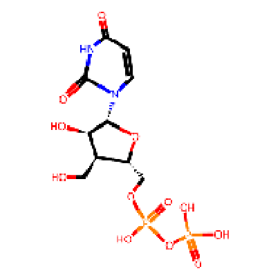 O=c1ccn([C@@H]2O[C@H](COP(=O)(O)OP(=O)(O)O)[C@@H](CO)[C@H]2O)c(=O)[nH]1